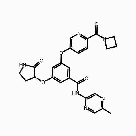 Cc1cnc(NC(=O)c2cc(Oc3ccc(C(=O)N4CCC4)nc3)cc(O[C@H]3CCNC3=O)c2)cn1